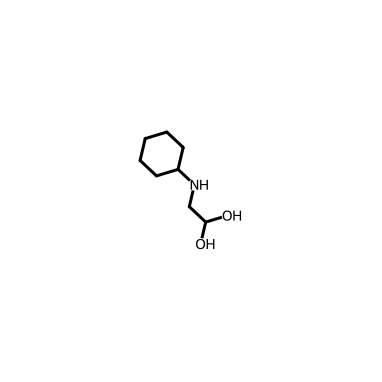 OC(O)CNC1CCCCC1